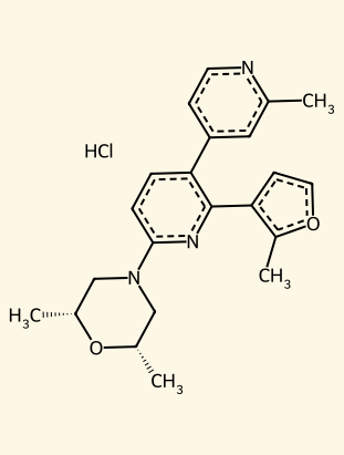 Cc1cc(-c2ccc(N3C[C@@H](C)O[C@@H](C)C3)nc2-c2ccoc2C)ccn1.Cl